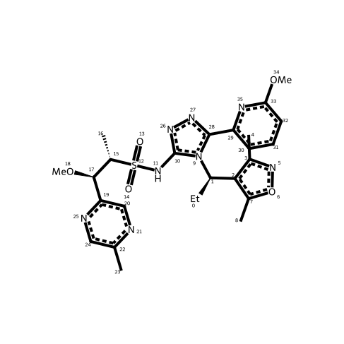 CC[C@H](c1c(C)noc1C)n1c(NS(=O)(=O)[C@@H](C)[C@H](OC)c2cnc(C)cn2)nnc1-c1cccc(OC)n1